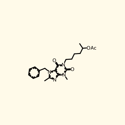 CC(=O)OC(C)CCCCn1c(=O)c2c(nc(C)n2Cc2ccccc2)n(C)c1=O